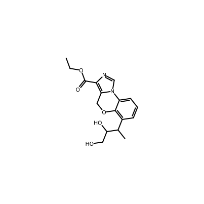 CCOC(=O)c1ncn2c1COc1c(C(C)C(O)CO)cccc1-2